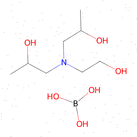 CC(O)CN(CCO)CC(C)O.OB(O)O